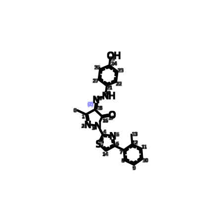 CC1=NN(c2nc(-c3ccccc3C)cs2)C(=O)/C1=N\Nc1ccc(O)cc1